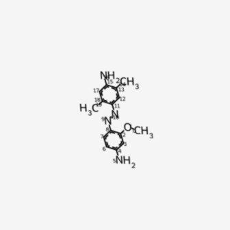 COc1cc(N)ccc1N=Nc1cc(C)c(N)cc1C